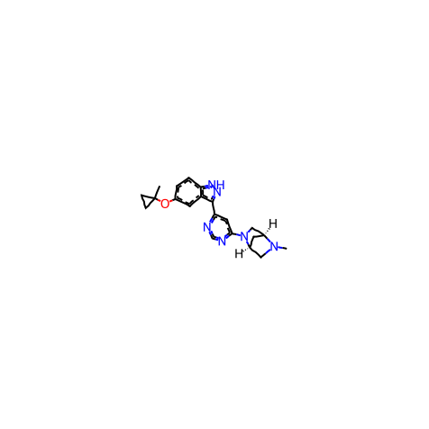 CN1C[C@@H]2C[C@H]1CN2c1cc(-c2n[nH]c3ccc(OC4(C)CC4)cc23)ncn1